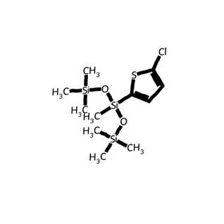 C[Si](C)(C)O[Si](C)(O[Si](C)(C)C)c1ccc(Cl)s1